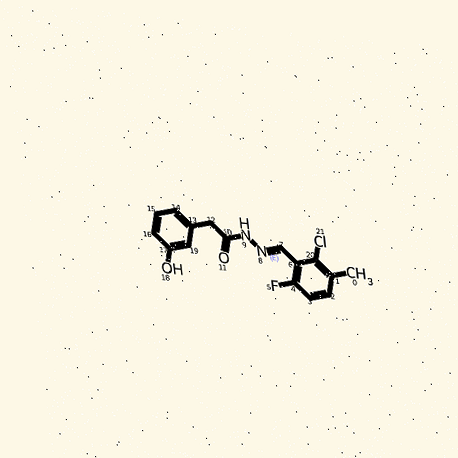 Cc1ccc(F)c(/C=N/NC(=O)Cc2cccc(O)c2)c1Cl